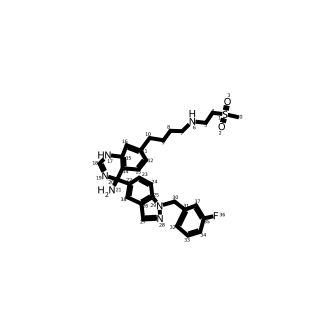 CS(=O)(=O)CCNCCCCc1ccc2c(c1)NC=NC2(N)c1ccc2c(cnn2Cc2cccc(F)c2)c1